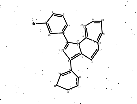 Brc1cccc(-c2nc(C3=CCCC=C3)c3ccc4cccnc4n23)c1